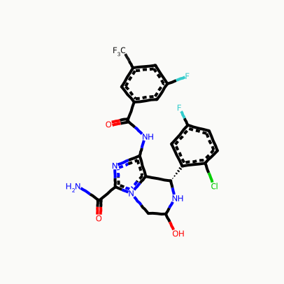 NC(=O)c1nc(NC(=O)c2cc(F)cc(C(F)(F)F)c2)c2n1CC(O)N[C@H]2c1cc(F)ccc1Cl